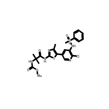 Cc1nc(NC(=O)C(C)(C)NC(=O)OC(C)(C)C)sc1-c1cnc(Cl)c(N[SH](C)(=O)c2ccccc2)c1